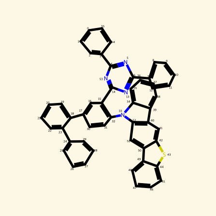 c1ccc(-c2nc(-c3ccccc3)nc(-c3cc(-c4ccccc4-c4ccccc4)ccc3-n3c4ccccc4c4cc5sc6ccccc6c5cc43)n2)cc1